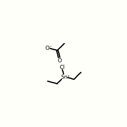 CC(=O)[O-].C[CH2][Sn+]([Cl])[CH2]C